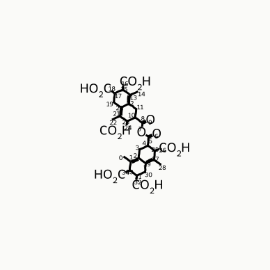 CC1=C2CC(C(=O)OC(=O)C3CC4=C(C)C(C(=O)O)C(C(=O)O)CC4=C(C)C3C(=O)O)C(C(=O)O)C(C)=C2CC(C(=O)O)C1C(=O)O